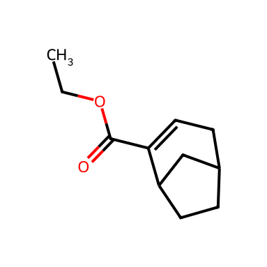 CCOC(=O)C1=CCC2CCC1C2